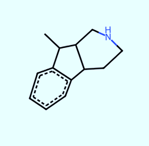 CC1c2ccccc2C2CCNCC12